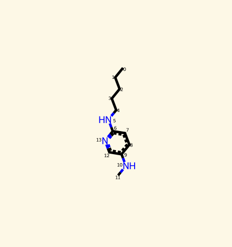 CCCCCNc1ccc(NC)cn1